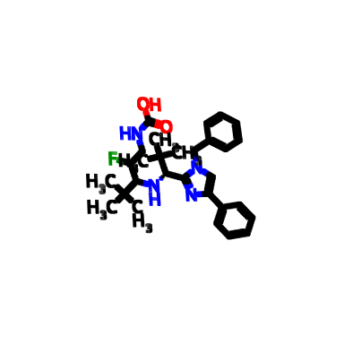 CC(C)(C)C(N[C@@H](c1nc(-c2ccccc2)cn1Cc1ccccc1)C(C)(C)C)C(F)CNC(=O)O